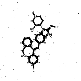 CN1CC[C@H](n2/c(=N/C#N)[nH]c3cc(/C=C4\c5ccccc5COc5cc(F)ccc54)ccc32)[C@@H](O)C1